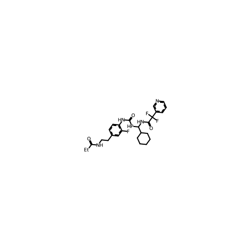 CCC(=O)NCCc1ccc(NC(=O)PC(NC(=O)C(F)(F)c2cccnc2)C2CCCCC2)c(F)c1